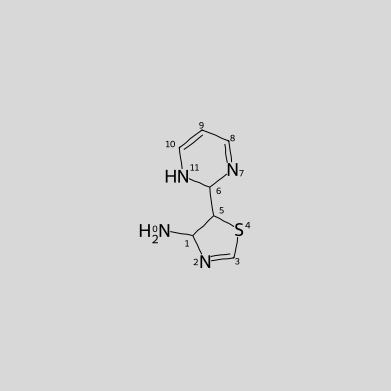 NC1N=CSC1C1N=CC=CN1